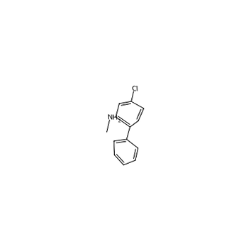 CN.Clc1ccc(-c2ccccc2)cc1